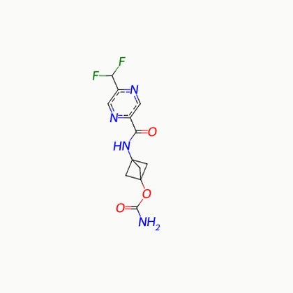 NC(=O)OC12CC(NC(=O)c3cnc(C(F)F)cn3)(C1)C2